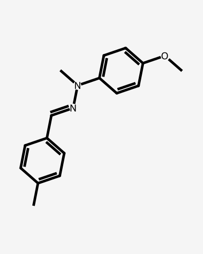 COc1ccc(N(C)N=Cc2ccc(C)cc2)cc1